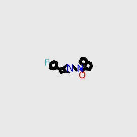 O=C1c2cccc3cccc(c23)N1CCN1CC2CC(c3ccc(F)cc3)C2C1